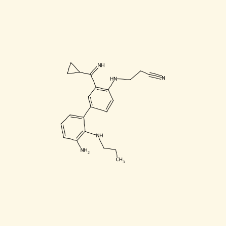 CCCNc1c(N)cccc1-c1ccc(NCCC#N)c(C(=N)C2CC2)c1